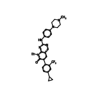 CCn1c(=O)c(-c2ccc(C3CC3)cc2C(F)(F)F)cc2cnc(Nc3ccc(N4CCN(C)CC4)cc3)nc21